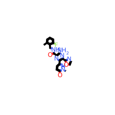 Cc1cccc(F)c1CNC(=O)c1nc(-c2ccc(=O)n(C)n2)c(-c2ncco2)nc1N